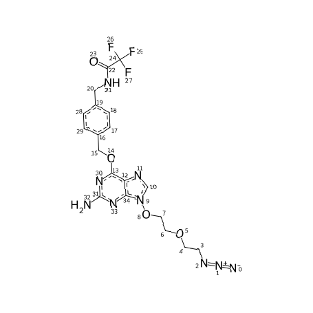 [N-]=[N+]=NCCOCCOn1cnc2c(OCc3ccc(CNC(=O)C(F)(F)F)cc3)nc(N)nc21